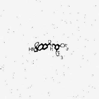 O=C(NCc1cc(C(F)(F)F)cc(C(F)(F)F)c1)c1ccc2c(c1)CCC1(CCNC1=O)C2